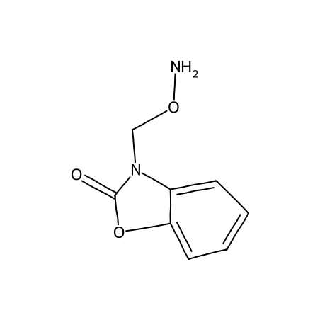 NOCn1c(=O)oc2ccccc21